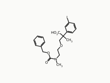 CN(CCOCC(C)(C(=O)O)c1cccc(I)c1)C(=O)OCc1ccccc1